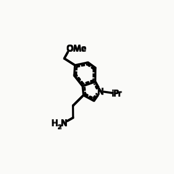 COCc1ccc2c(c1)c(CCN)cn2C(C)C